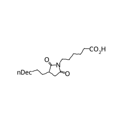 CCCCCCCCCCCCC1CC(=O)N(CCCCCC(=O)O)C1=O